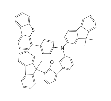 CC1(C)c2ccccc2-c2ccc(N(c3ccc(-c4cccc5c4sc4ccccc45)cc3)c3cccc4c3oc3c(C5(C)c6ccccc6-c6ccccc65)cccc34)cc21